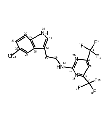 FC(F)(F)c1cc(C(F)(F)F)nc(NCCc2c[nH]c3ccc(Cl)cc23)n1